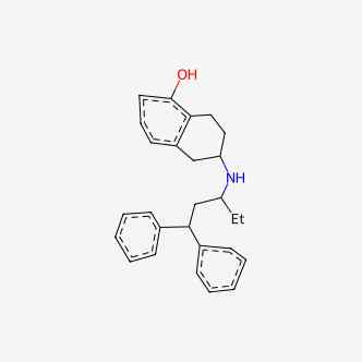 CCC(CC(c1ccccc1)c1ccccc1)NC1CCc2c(O)cccc2C1